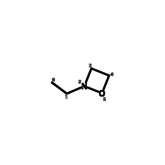 CCN1CCO1